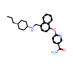 CCC[C@H]1CC[C@@H](NCc2ccc(Oc3ccc(C(N)=O)cn3)c3ccccc23)CC1